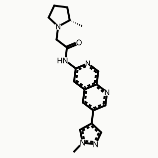 C[C@H]1CCCN1CC(=O)Nc1cc2cc(-c3cnn(C)c3)cnc2cn1